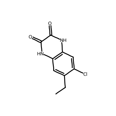 CCc1cc2[nH]c(=O)c(=O)[nH]c2cc1Cl